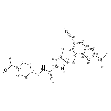 CC(=O)N1CCC(CNC(=O)c2cc(C)n(Cc3cc(C#N)cc4cc(C(C)C)oc34)n2)CC1